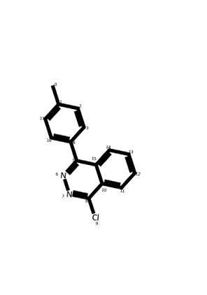 Cc1ccc(-c2nnc(Cl)c3ccccc23)cc1